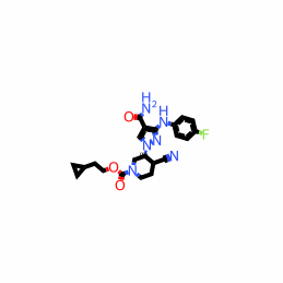 N#CC1CCN(C(=O)OCCC2CC2)C[C@H]1n1cc(C(N)=O)c(Nc2ccc(F)cc2)n1